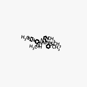 COc1cc(N2CCN(C)CC2)ccc1Nc1nc(Nc2ccccc2SC(C)C)c2c(ccn2C)n1